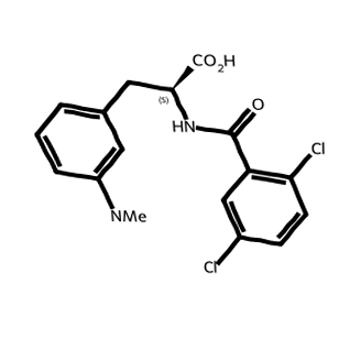 CNc1cccc(C[C@H](NC(=O)c2cc(Cl)ccc2Cl)C(=O)O)c1